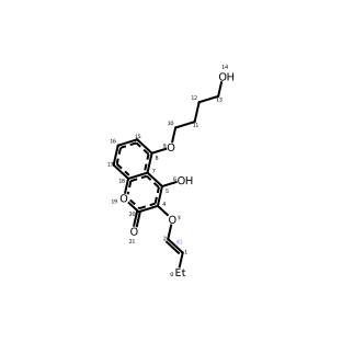 CC/C=C/Oc1c(O)c2c(OCCCCO)cccc2oc1=O